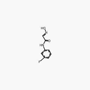 O=C(/C=N/O)Nc1cccc(F)c1